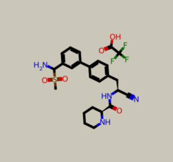 CS(=O)(=O)C(N)c1cccc(-c2ccc(C[C@@H](C#N)NC(=O)[C@@H]3CCCCN3)cc2)c1.O=C(O)C(F)(F)F